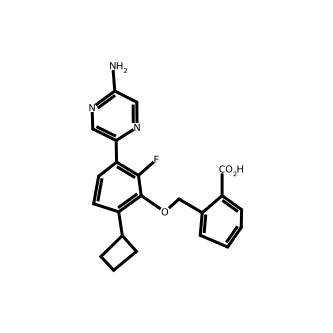 Nc1cnc(-c2ccc(C3CCC3)c(OCc3ccccc3C(=O)O)c2F)cn1